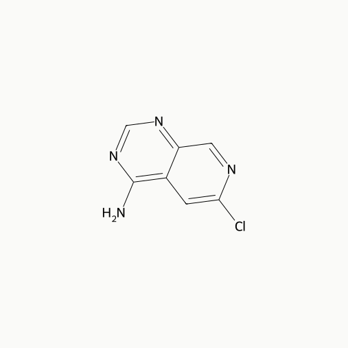 Nc1ncnc2cnc(Cl)cc12